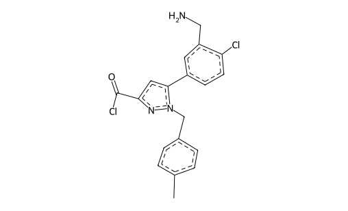 Cc1ccc(Cn2nc(C(=O)Cl)cc2-c2ccc(Cl)c(CN)c2)cc1